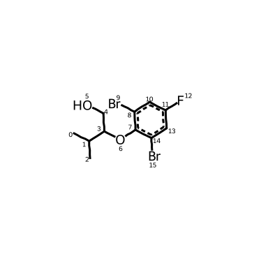 CC(C)C(CO)Oc1c(Br)cc(F)cc1Br